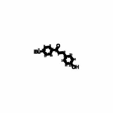 CCC(C)c1ccc(C(=O)/C=C/c2ccc(O)cc2)cc1